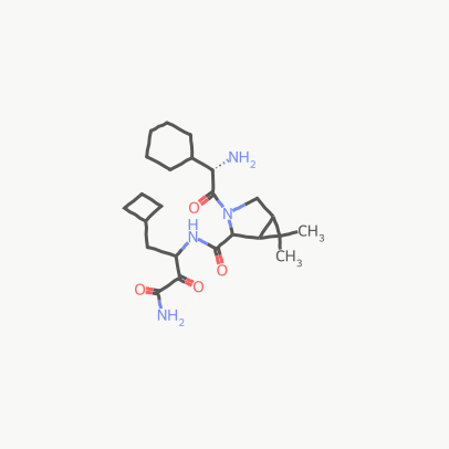 CC1(C)C2CN(C(=O)[C@@H](N)C3CCCCC3)C(C(=O)NC(CC3CCC3)C(=O)C(N)=O)C21